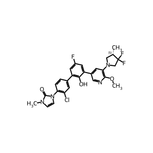 COc1ncc(-c2cc(F)cc(-c3ccc(-n4ccn(C)c4=O)c(Cl)c3)c2O)cc1N1C[C@H](C)C(F)(F)C1